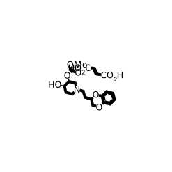 COC(=O)O[C@H]1CN(CCC2COc3ccccc3O2)CC[C@@H]1O.O=C(O)/C=C/C(=O)O